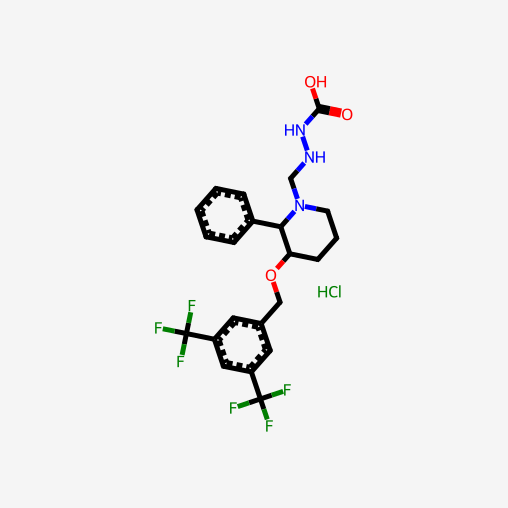 Cl.O=C(O)NNCN1CCCC(OCc2cc(C(F)(F)F)cc(C(F)(F)F)c2)C1c1ccccc1